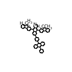 CC1(C)c2ccccc2-c2ccc(-c3c4ccc(-c5ccc(-c6c7ccccc7c(-c7ccccc7)c7ccccc67)cc5)cc4c(-c4ccc5c(c4)C(C)(C)c4ccccc4-5)c4ccncc34)cc21